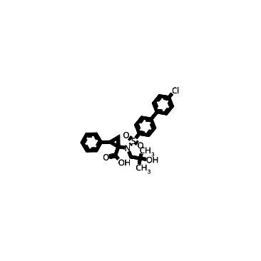 CC(C)(O)CN(C1(C(=O)O)CC1c1ccccc1)S(=O)(=O)c1ccc(-c2ccc(Cl)cc2)cc1